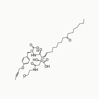 CC#CCOc1ccc(C[C@H](NC(=O)[C@@H](C=CCCCCCCC(=O)CCCCCCC)[C@@](O)(CC(=O)NCCOC)C(=O)O)C(=O)O)cc1